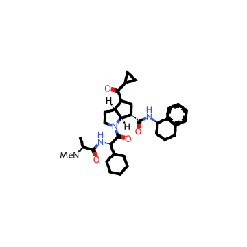 CN[C@@H](C)C(=O)N[C@H](C(=O)N1CC[C@H]2C(C(=O)C3CC3)C[C@H](C(=O)N[C@@H]3CCCc4ccccc43)[C@H]21)C1CCCCC1